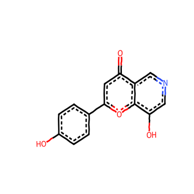 O=c1cc(-c2ccc(O)cc2)oc2c(O)cncc12